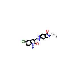 CN1Cc2cc(NCc3cc4cc(Cl)ccc4[nH]c3=O)ccc2C1=O